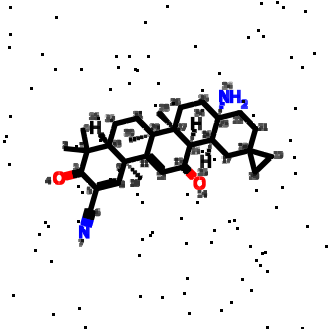 CC1(C)C(=O)C(C#N)=C[C@]2(C)C3=CC(=O)[C@@H]4[C@@H]5CC6(CC6)CC[C@]5(N)CC[C@@]4(C)[C@]3(C)CC[C@@H]12